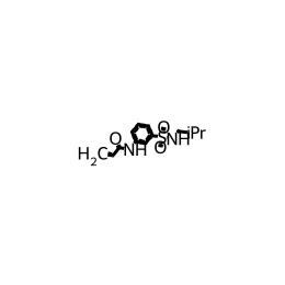 C=CC(=O)Nc1cccc(S(=O)(=O)NCC(C)C)c1